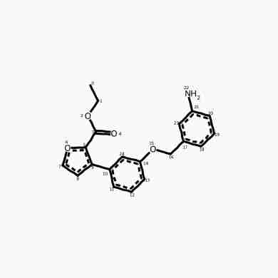 CCOC(=O)c1occc1-c1cccc(OCc2cccc(N)c2)c1